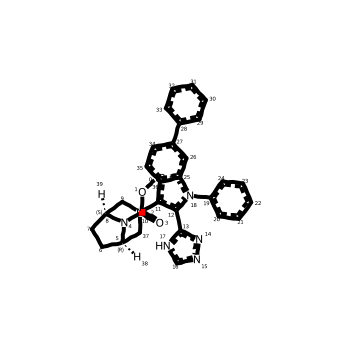 CC(C)(C)OC(=O)N1[C@@H]2CC[C@H]1CN(c1c(-c3nnc[nH]3)n(-c3ccccc3)c3cc(-c4ccccc4)ccc13)C2